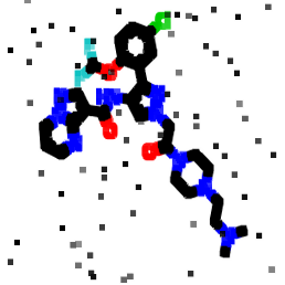 CN(C)CCN1CCN(C(=O)Cn2cc(NC(=O)c3cnn4cccnc34)c(-c3cc(Cl)ccc3OC(F)F)n2)CC1